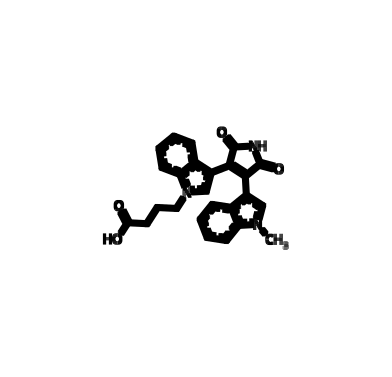 Cn1cc(C2=C(c3cn(CCCC(=O)O)c4ccccc34)C(=O)NC2=O)c2ccccc21